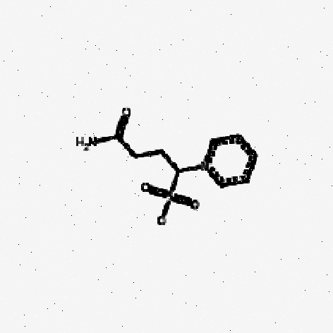 NC(=O)CCC([n+]1ccccc1)S(=O)(=O)[O-]